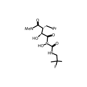 CNC(=O)[C@H](CC(C)C)[C@H](O)C(=O)N(O)C(=O)NCC(C)(C)F